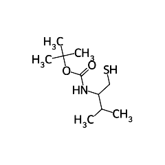 CC(C)C(CS)NC(=O)OC(C)(C)C